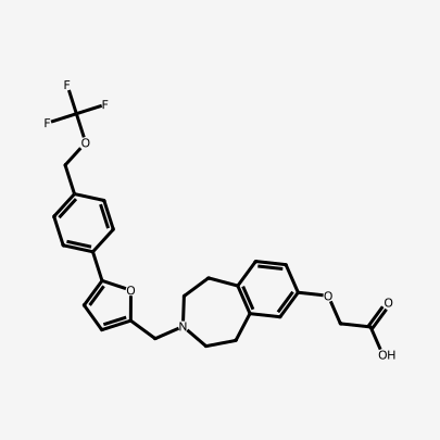 O=C(O)COc1ccc2c(c1)CCN(Cc1ccc(-c3ccc(COC(F)(F)F)cc3)o1)CC2